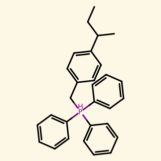 CCC(C)c1ccc(C[PH](c2ccccc2)(c2ccccc2)c2ccccc2)cc1